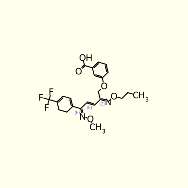 CCCO/N=C(/C=C/C(=N\OC)C1=CC=C(C(F)(F)F)CC1)COc1cccc(C(=O)O)c1